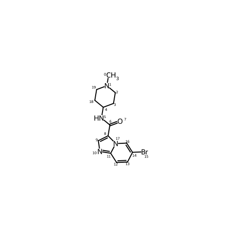 CN1CCC(NC(=O)c2cnc3ccc(Br)cn23)CC1